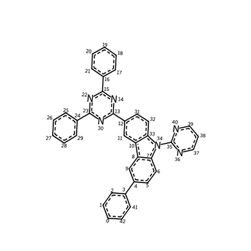 c1ccc(-c2ccc3c(c2)c2cc(-c4nc(-c5ccccc5)nc(-c5ccccc5)n4)ccc2n3-c2ncccn2)cc1